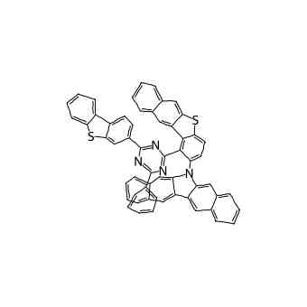 c1ccc(-c2nc(-c3ccc4c(c3)sc3ccccc34)nc(-c3c(-n4c5cc6ccccc6cc5c5cc6ccccc6cc54)ccc4sc5cc6ccccc6cc5c34)n2)cc1